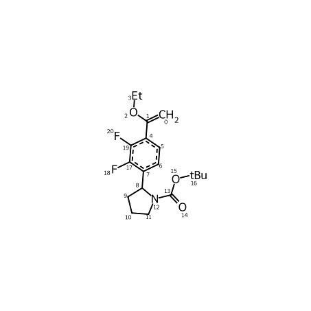 C=C(OCC)c1ccc(C2CCCN2C(=O)OC(C)(C)C)c(F)c1F